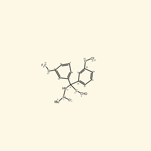 CC(C)(C)[S+]([O-])NC(CC=O)(c1cccc(OC(F)(F)F)c1)c1cccc(OC(F)(F)F)c1